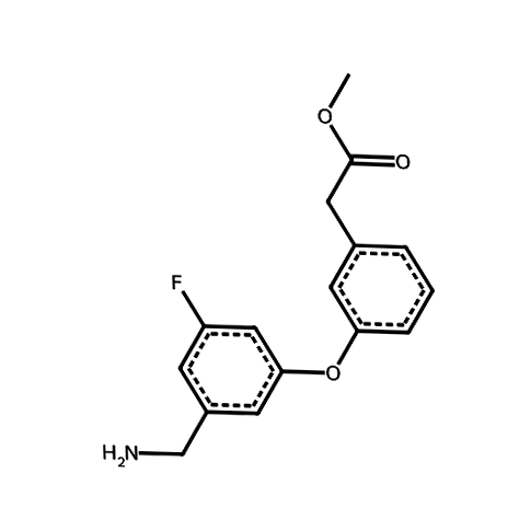 COC(=O)Cc1cccc(Oc2cc(F)cc(CN)c2)c1